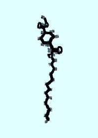 CCCCCCCCCCCCCOC(=O)C1CCC(C(=O)OC)CC1